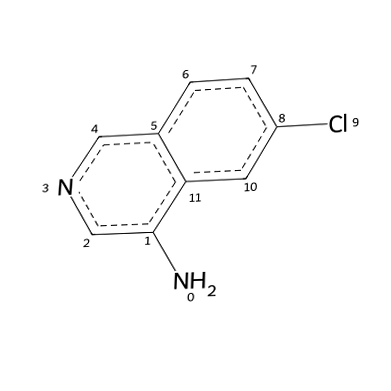 Nc1cncc2ccc(Cl)cc12